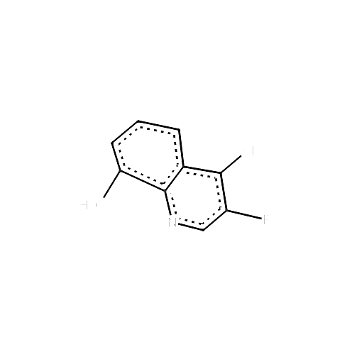 Cc1cccc2c(C=O)c(F)cnc12